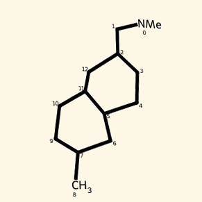 CNCC1CCC2CC(C)CCC2C1